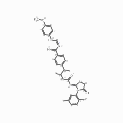 Cc1ccc(C(C)C)c(N2C(=O)CS/C2=N\C(=O)NC(C)C(C)c2ccc(C(=N)/N=C\Nc3ccc(OC(F)(F)F)cc3)cc2)c1